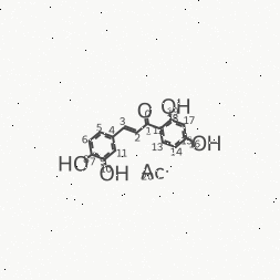 O=C(/C=C/c1ccc(O)c(O)c1)c1ccc(O)cc1O.[Ac]